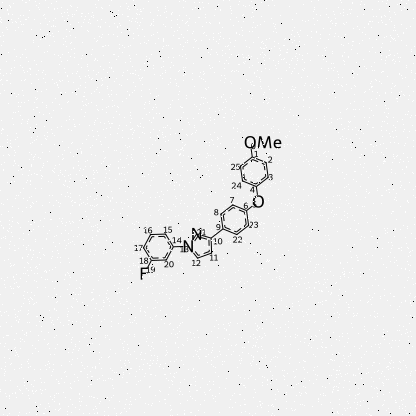 COc1ccc(Oc2ccc(-c3ccn(-c4cccc(F)c4)n3)cc2)cc1